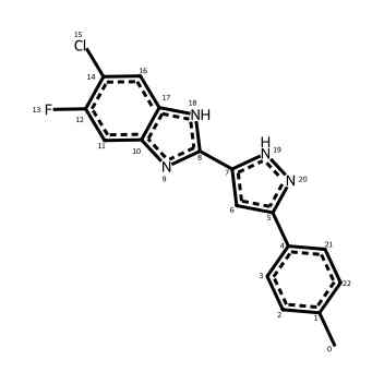 Cc1ccc(-c2cc(-c3nc4cc(F)c(Cl)cc4[nH]3)[nH]n2)cc1